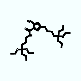 CCO[Si](CCCNC(=O)n1nc(SCCC[Si](OCC)(OCC)OCC)nc1N)(OCC)OCC